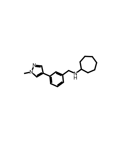 Cn1cc(-c2cccc(CNC3CCCCCC3)c2)cn1